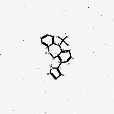 CC(C)(C)C1c2ccccc2SCc2c(-c3cccs3)cccc21